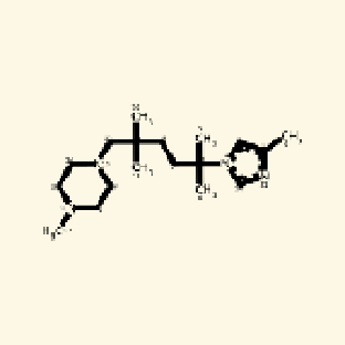 Cc1cn(C(C)(C)CCC(C)(C)CN2CCN(C)CC2)cn1